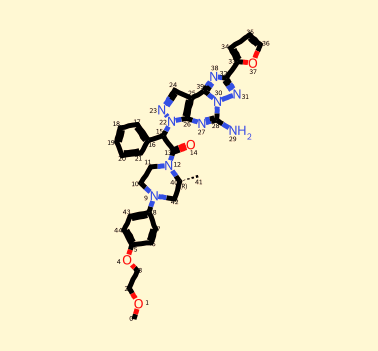 COCCOc1ccc(N2CCN(C(=O)C(c3ccccc3)n3ncc4c3nc(N)n3nc(-c5ccco5)nc43)[C@H](C)C2)cc1